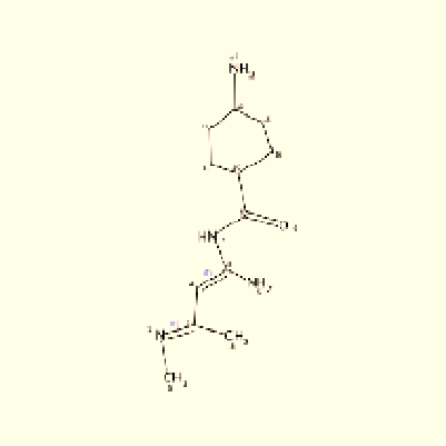 C/N=C(C)/C=C(\N)NC(=O)C1CCC(N)CC1